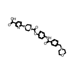 O=C(O)c1ccc(N2CCN(C(=O)Oc3ccc(NC(=O)c4ccc(CN5CCOCC5)cc4)cc3)CC2)nc1